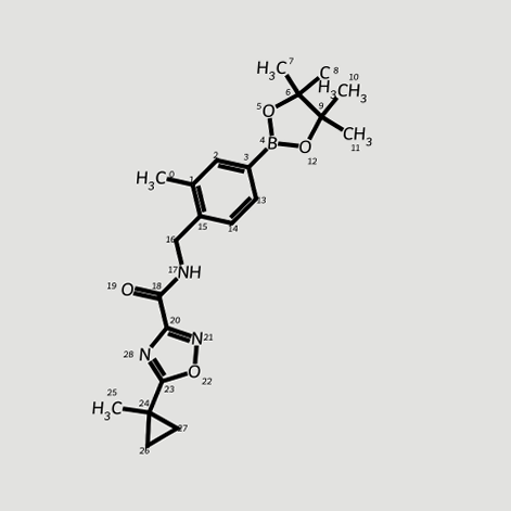 Cc1cc(B2OC(C)(C)C(C)(C)O2)ccc1CNC(=O)c1noc(C2(C)CC2)n1